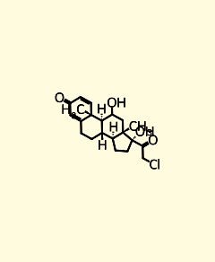 C[C@]12C=CC(=O)C=C1CC[C@@H]1[C@@H]2C(O)C[C@@]2(C)[C@H]1CC[C@]2(O)C(=O)CCl